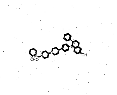 O=C[C@H]1CCCC[C@@H]1CN1CCC(N2CCC(c3ccc([C@@H]4c5ccc(O)cc5CC[C@@H]4c4ccccc4)cc3)CC2)CC1